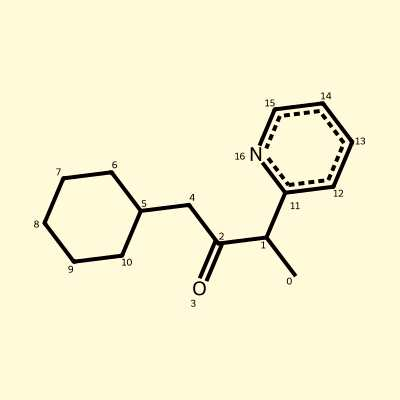 CC(C(=O)CC1CCCCC1)c1ccccn1